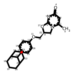 Cc1cc(=O)nc2n1C[C@@H](COc1ccc(C3C4CCCC3CCC4)cc1)O2